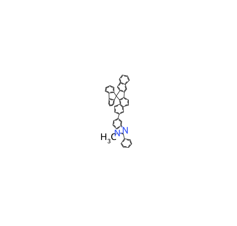 Cn1c(-c2ccccc2)nc2cc(-c3ccc4c5c(ccc4c3)-c3cc4ccccc4cc3C53c4ccccc4-c4ccccc43)ccc21